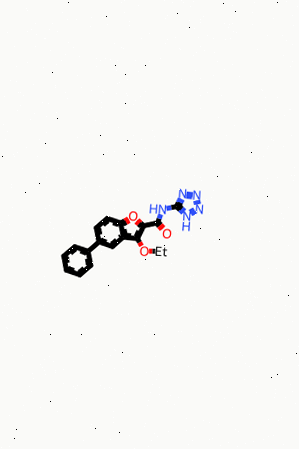 CCOc1c(C(=O)Nc2nnn[nH]2)oc2ccc(-c3ccccc3)cc12